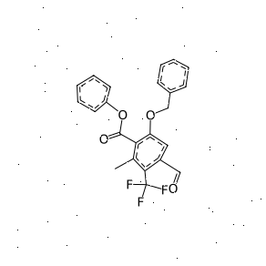 Cc1c(C(=O)Oc2ccccc2)c(OCc2ccccc2)cc(C=O)c1C(F)(F)F